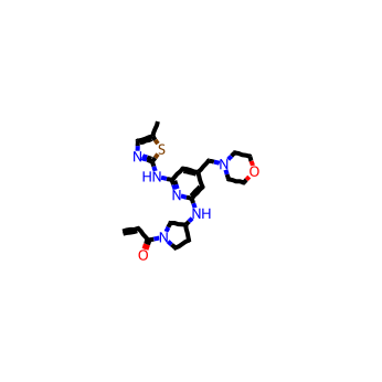 C=CC(=O)N1CCC(Nc2cc(CN3CCOCC3)cc(Nc3ncc(C)s3)n2)C1